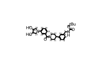 CC(C)(C)OC(=O)NCc1cccc(C2CCN(C(=O)c3cccc(N4CC(O)C(O)C4)c3)CC2)c1